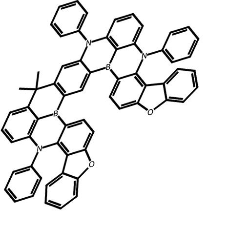 CC1(C)c2cc3c(cc2B2c4ccc5oc6ccccc6c5c4N(c4ccccc4)c4cccc1c42)B1c2ccc4oc5ccccc5c4c2N(c2ccccc2)c2cccc(c21)N3c1ccccc1